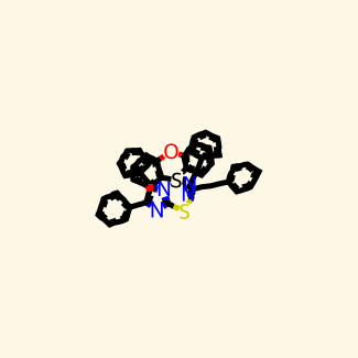 c1ccc(-c2nc3n(c2-c2ccccc2)[Si]2(c4ccccc4Oc4ccccc42)n2c(nc(-c4ccccc4)c2-c2ccccc2)S3)cc1